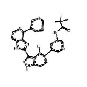 CC(C)(C)C(=O)Nc1cncc(-c2ccc3[nH]nc(-c4nc5c(-c6cccnc6)nccc5[nH]4)c3c2F)c1